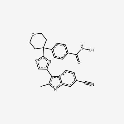 Cc1nc2cc(C#N)ccn2c1-c1csc(C2(c3ccc(C(=O)NO)cc3)CCOCC2)n1